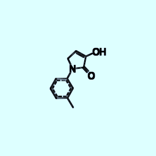 Cc1cccc(N2CC=C(O)C2=O)c1